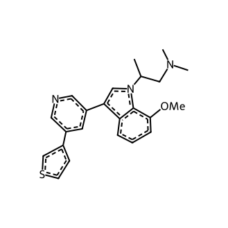 COc1cccc2c(-c3cncc(-c4ccsc4)c3)cn(C(C)CN(C)C)c12